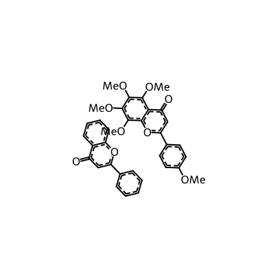 COc1ccc(-c2cc(=O)c3c(OC)c(OC)c(OC)c(OC)c3o2)cc1.O=c1cc(-c2ccccc2)oc2ccccc12